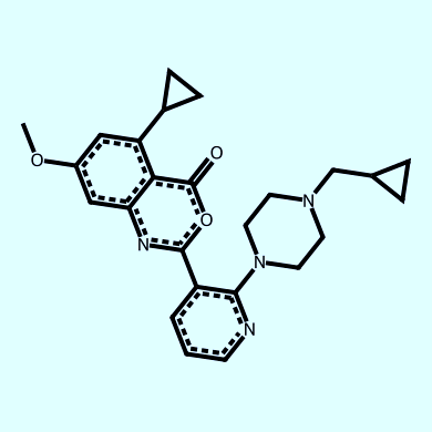 COc1cc(C2CC2)c2c(=O)oc(-c3cccnc3N3CCN(CC4CC4)CC3)nc2c1